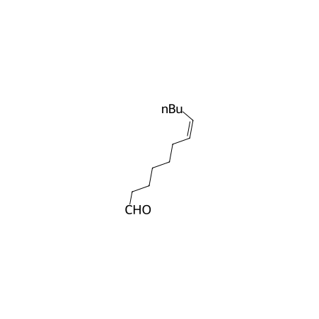 CCCC/C=C\CCCCCC=O